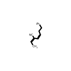 C/C=C(C#N)\C=C/CCC(C)C